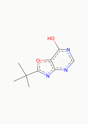 CC(C)(C)c1nc2ncnc(O)c2o1